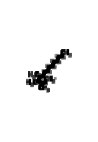 [CH2]CC(C)C(C)C(C)CCCCCCCCCC